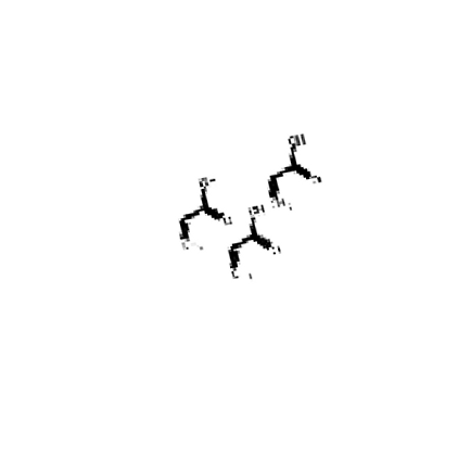 C=CC(=O)O.C=CC(=O)O.C=CC(=O)O